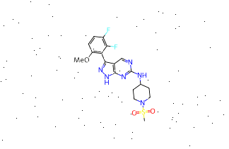 COc1ccc(F)c(F)c1-c1n[nH]c2nc(NC3CCN(S(C)(=O)=O)CC3)ncc12